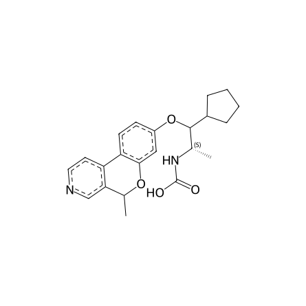 CC1Oc2cc(OC(C3CCCC3)[C@H](C)NC(=O)O)ccc2-c2ccncc21